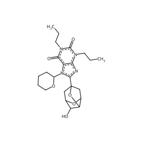 CCCn1c(=O)c2c(nc(C34CC5OC(C3)C(O4)C5O)n2C2CCCCO2)n(CCC)c1=O